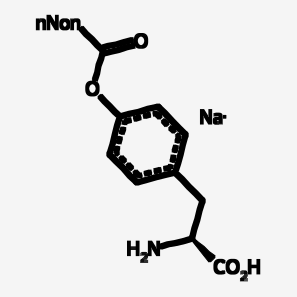 CCCCCCCCCC(=O)Oc1ccc(C[C@H](N)C(=O)O)cc1.[Na]